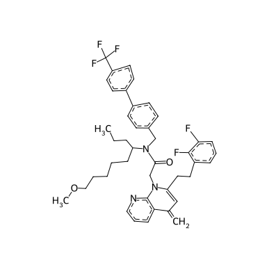 C=C1C=C(CCc2cccc(F)c2F)N(CC(=O)N(Cc2ccc(-c3ccc(C(F)(F)F)cc3)cc2)C(CCC)CCCCCOC)c2ncccc21